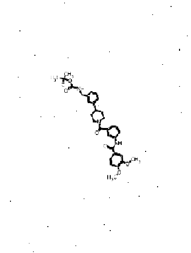 COc1ccc(C(=O)Nc2cccc(C(=O)N3CCC(c4cccc(CNC(=O)OC(C)(C)C)c4)CC3)c2)cc1OC